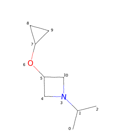 CC(C)N1CC(OC2CC2)C1